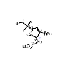 CCCCc1cn(C(C)(C)CF)s/c1=N\C(=O)OCC